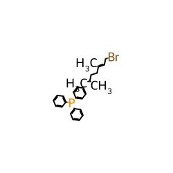 C/C(=C\CBr)CCC(C)C.c1ccc(P(c2ccccc2)c2ccccc2)cc1